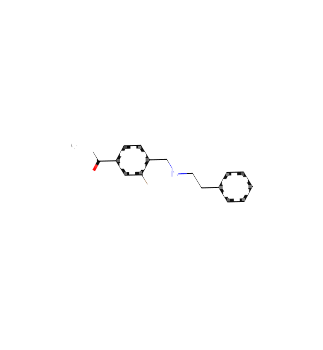 COC(=O)c1ccc(CNC[C@@H](O)c2ccccc2)c(Br)c1